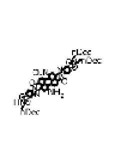 CCCCCCCCCCCCNS(=O)(=O)c1ccc2c(c1)nc1c3cc(N)c4c5ccc6c(=O)n7c8ccc(S(=O)(=O)N(CCCCCCCCCCCC)CCCCCCCCCCCC)cc8nc7c7cc([N+](=O)[O-])c(c8ccc(c(=O)n21)c3c84)c5c67